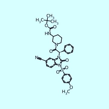 COc1ccc(S(=O)(=O)n2c(=O)n([C@@H](C(=O)N3CCCC(NC(=O)OC(C)(C)C)C3)c3ccccc3)c3cc(C#N)ccc32)cc1